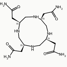 NC(=O)C[C@H]1CN[C@@H](CC(N)=O)CN[C@@H](CC(N)=O)CN[C@@H](CC(N)=O)CN1